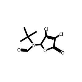 CC(C)(C)N(C=O)C1OC(=O)C(Cl)=C1Cl